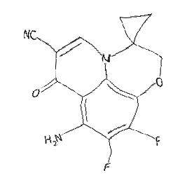 N#Cc1cn2c3c(c(F)c(F)c(N)c3c1=O)OCC21CC1